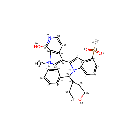 CCS(=O)(=O)c1cccc2c1cc(-c1cn(C)c3c(O)nccc13)n2[C@H](c1ccccc1)C1CCOCC1